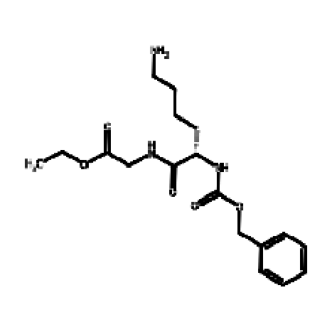 CCOC(=O)CNC(=O)[C@H](CCCCN)NC(=O)OCc1ccccc1